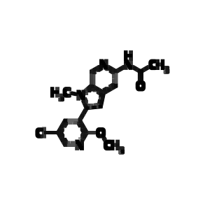 COc1ncc(Cl)cc1-c1cc2cc(NC(C)=O)ncc2n1C